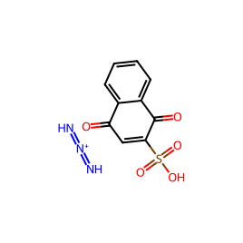 N=[N+]=N.O=C1C=C(S(=O)(=O)O)C(=O)c2ccccc21